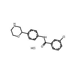 Cl.O=C(Nc1ccc(C2CNCCO2)cc1)c1cccc(Cl)c1